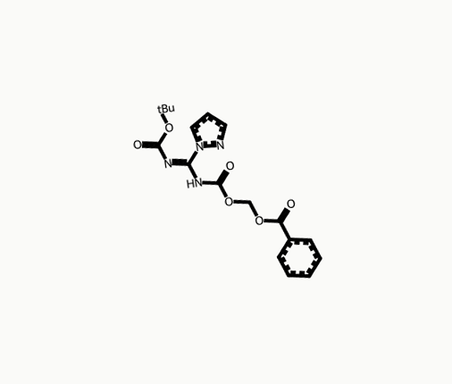 CC(C)(C)OC(=O)N=C(NC(=O)OCOC(=O)c1ccccc1)n1cccn1